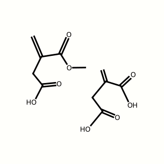 C=C(CC(=O)O)C(=O)O.C=C(CC(=O)O)C(=O)OC